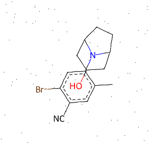 Cc1cc(C#N)c(Br)cc1N1C2CCC1CC(O)C2